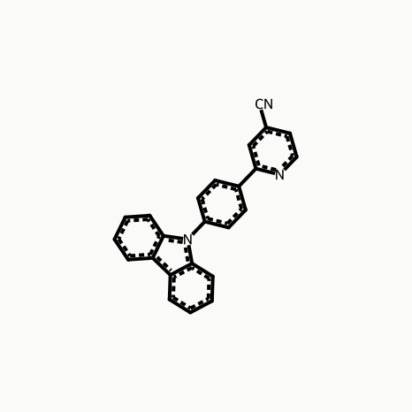 N#Cc1ccnc(-c2ccc(-n3c4ccccc4c4ccccc43)cc2)c1